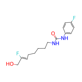 O=C(NCCCCC/C=C(\F)CO)Nc1ccc(F)cc1